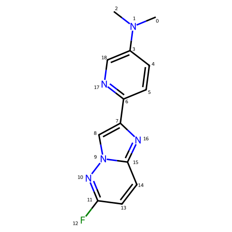 CN(C)c1ccc(-c2cn3nc(F)ccc3n2)nc1